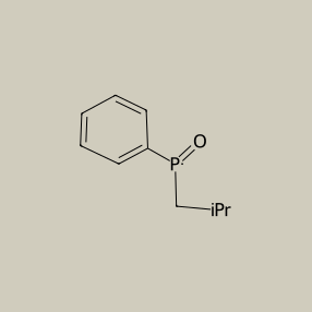 CC(C)C[P](=O)c1ccccc1